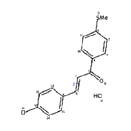 CSc1ccc(C(=O)/C=C/c2ccc(Cl)cc2)cc1.Cl